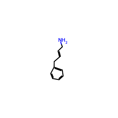 NCC=CCc1ccccc1